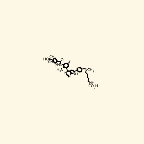 Cc1c(NC(=O)c2ccc(C(C)(C)O)cc2F)cc(F)cc1-c1ncnc2[nH]c(-c3ccc(CN(C)CCCCCNC(=O)O)cc3)cc12